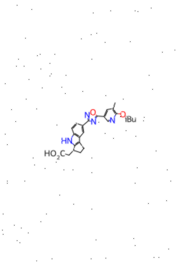 CCC(C)Oc1ncc(-c2nc(-c3ccc4[nH]c5c(c4c3)CCC5CC(=O)O)no2)cc1C